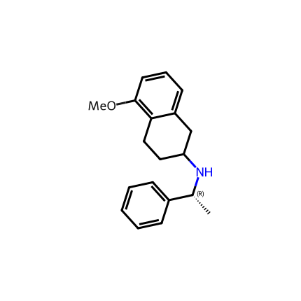 COc1cccc2c1CCC(N[C@H](C)c1ccccc1)C2